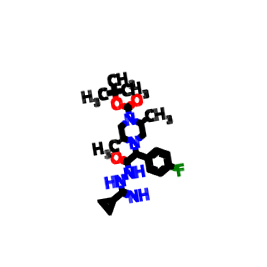 C[C@@H]1CN(C(=O)OC(C)(C)C)[C@@H](C)CN1C(C(=O)NNC(=N)C1CC1)c1ccc(F)cc1